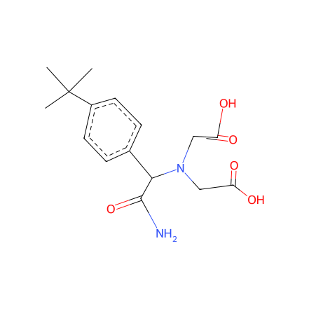 CC(C)(C)c1ccc(C(C(N)=O)N(CC(=O)O)CC(=O)O)cc1